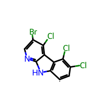 Clc1c[c]c2[nH]c3ncc(Br)c(Cl)c3c2c1Cl